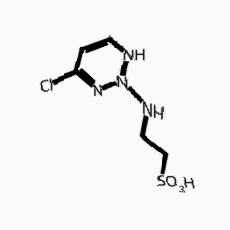 O=S(=O)(O)CCNN1N=C(Cl)C=[C]N1